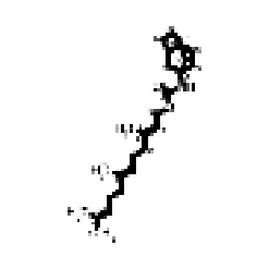 CC(C)=CCC/C(C)=C/CC/C(C)=C/COC(=O)NC12CC=C3C(CC3C1)C2